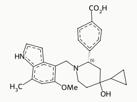 COc1cc(C)c2[nH]ccc2c1CN1CCC(O)(C2CC2)C[C@H]1c1ccc(C(=O)O)cc1